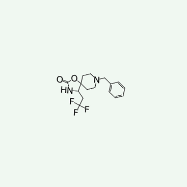 O=C1NC(CC(F)(F)F)C2(CCN(Cc3ccccc3)CC2)O1